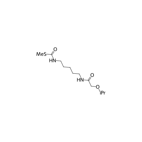 CSC(=O)NCCCCCNC(=O)COC(C)C